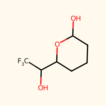 OC1CCCC(C(O)C(F)(F)F)O1